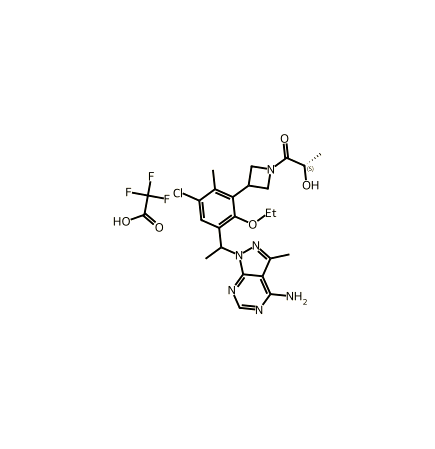 CCOc1c(C(C)n2nc(C)c3c(N)ncnc32)cc(Cl)c(C)c1C1CN(C(=O)[C@H](C)O)C1.O=C(O)C(F)(F)F